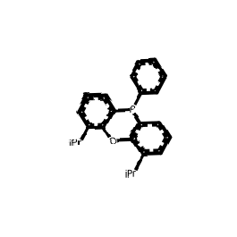 CC(C)c1cccc2c1Oc1c(C(C)C)cccc1P2c1ccccc1